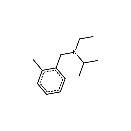 CCN(Cc1ccccc1C)C(C)C